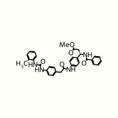 COC(=O)C[C@@H](NC(=O)c1ccccc1)c1ccc(NC(=O)Cc2ccc(NC(=O)Nc3ccccc3C)cc2)cc1